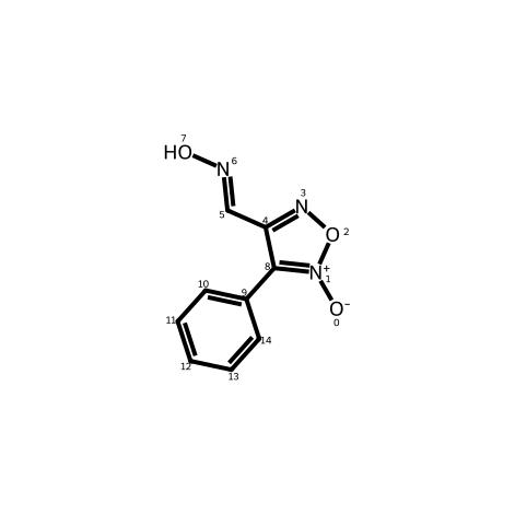 [O-][n+]1onc(C=NO)c1-c1ccccc1